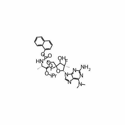 CC(C)OC(=O)[C@H](C)N[P@](=O)(OC[C@@]1(F)O[C@@H](n2cnc3c(N(C)C)nc(N)nc32)[C@](C)(F)[C@@H]1O)Oc1cccc2ccccc12